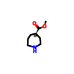 COC(=O)[C@H]1CCCNCC1